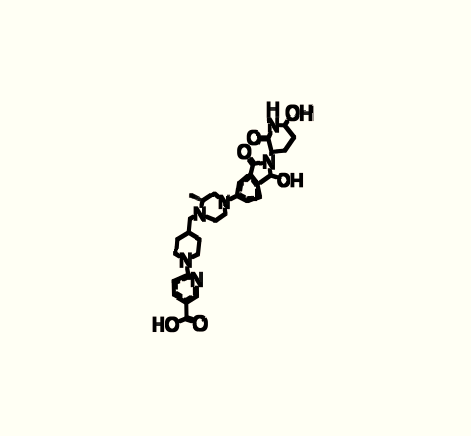 C[C@H]1CN(c2ccc3c(c2)C(=O)N(C2CCC(O)NC2=O)C3O)CCN1CC1CCN(c2ccc(C(=O)O)cn2)CC1